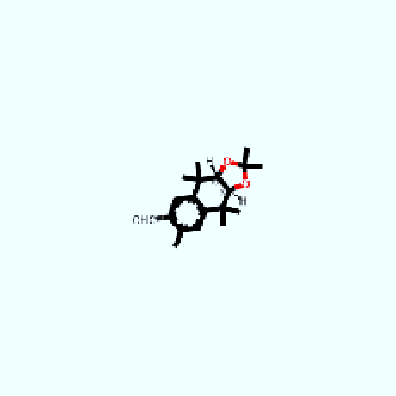 Cc1cc2c(cc1C=O)C(C)(C)[C@@H]1OC(C)(C)O[C@H]1C2(C)C